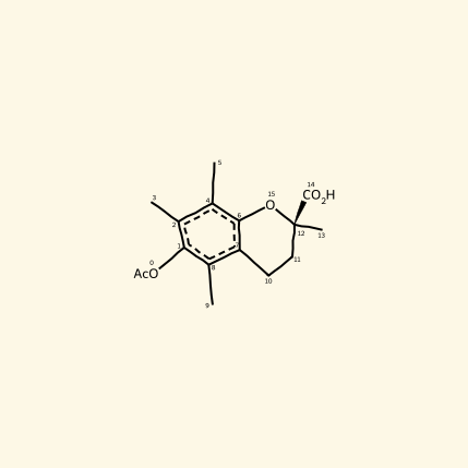 CC(=O)Oc1c(C)c(C)c2c(c1C)CC[C@](C)(C(=O)O)O2